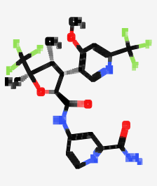 COc1cc(C(F)(F)F)ncc1[C@@H]1[C@@H](C(=O)Nc2ccnc(C(N)=O)c2)O[C@@](C)(C(F)(F)F)[C@@H]1C